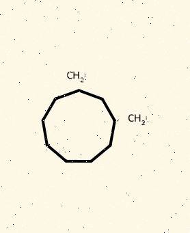 [CH2].[CH2].[CH]1CCCCCCCC1